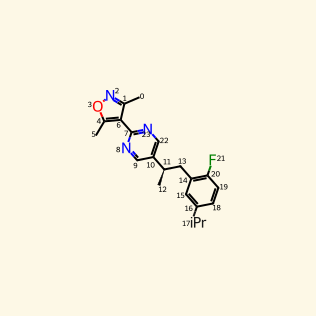 Cc1noc(C)c1-c1ncc([C@H](C)Cc2cc(C(C)C)ccc2F)cn1